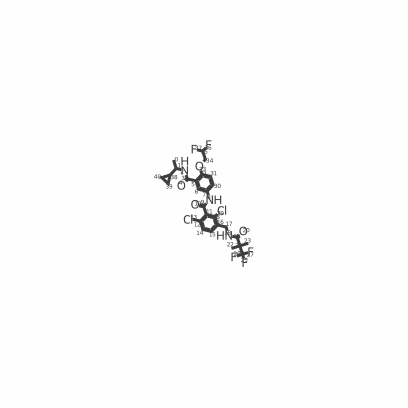 CC(NC(=O)c1cc(NC(=O)c2c(Cl)ccc(CNC(=O)C(C)(C)C(F)(F)F)c2Cl)ccc1OCC(F)F)C1CC1